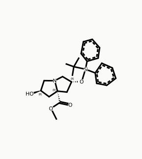 COC(=O)[C@]12C[C@@H](O)CN1C[C@H](O[Si](c1ccccc1)(c1ccccc1)C(C)(C)C)C2